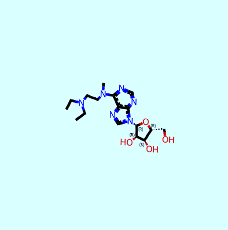 CCN(CC)CCN(C)c1ncnc2c1ncn2[C@@H]1O[C@H](CO)[C@@H](O)[C@H]1O